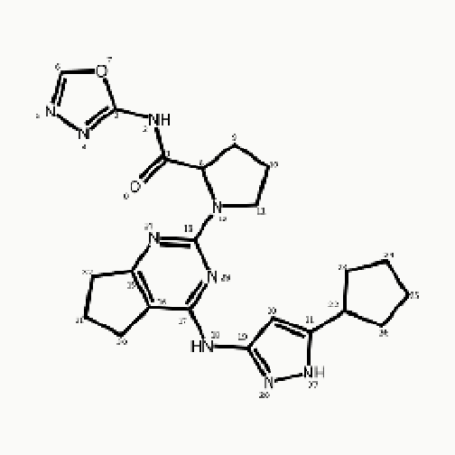 O=C(Nc1nnco1)C1CCCN1c1nc2c(c(Nc3cc(C4CCCC4)[nH]n3)n1)CCC2